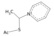 CC(=O)SC(C)[n+]1ccccc1